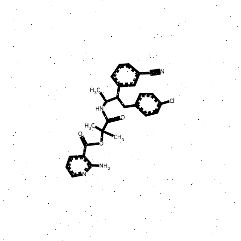 CC(NC(=O)C(C)(C)OC(=O)c1cccnc1N)C(Cc1ccc(Cl)cc1)c1cccc(C#N)c1